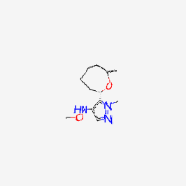 CONc1cnn(C)c1[C@@H]1CCCCC(C)O1